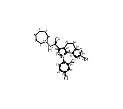 O=C(NN1CCCCCC1)c1nn(-c2ccc(Cl)cc2Cl)c2c1CCc1sc(Br)cc1-2